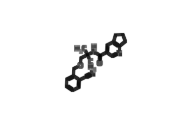 CC(C)(COCc1ccccc1C#N)NC(=O)c1cnc2c(c1)CCC2